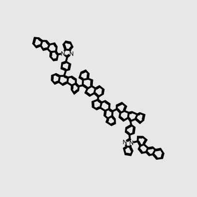 c1ccc2cc3c(ccc4c(-n5c(-c6ccc(-c7c8ccccc8cc8c7ccc7c(-c9c%10ccccc%10cc%10c9ccc9c(-c%11cccc%12c%11ccc%11c(-c%13cccc%14c%13ccc%13c(-c%15ccc(-c%16nc%17ccccc%17n%16-c%16cccc%17c%16ccc%16cc%18ccccc%18cc%16%17)cc%15)c%15ccccc%15cc%13%14)c%13ccccc%13cc%11%12)cccc9%10)cccc78)cc6)nc6ccccc65)cccc43)cc2c1